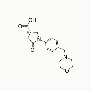 O=C(O)[C@H]1CC(=O)N(c2ccc(CN3CCOCC3)cc2)C1